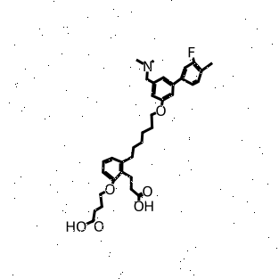 Cc1ccc(-c2cc(CN(C)C)cc(OCCCCCCc3cccc(OCCCC(=O)O)c3CCC(=O)O)c2)cc1F